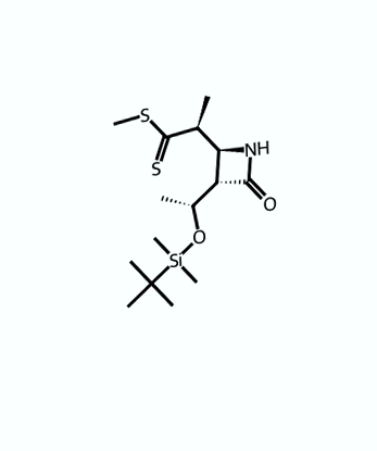 CSC(=S)[C@@H](C)[C@H]1NC(=O)[C@@H]1[C@@H](C)O[Si](C)(C)C(C)(C)C